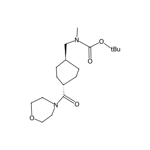 CN(C[C@H]1CC[C@H](C(=O)N2CCOCC2)CC1)C(=O)OC(C)(C)C